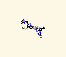 Cc1ccnc(C2CC2c2cc(CC#N)c3ccc(NCc4cn5cc(C6CC6)cc(N6CC(=O)N(C)C6=O)c5n4)cc3n2)n1